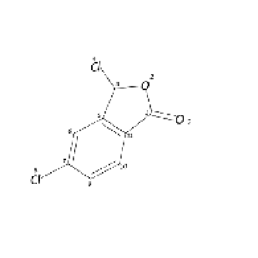 O=C1OC(Cl)c2cc(Cl)ccc21